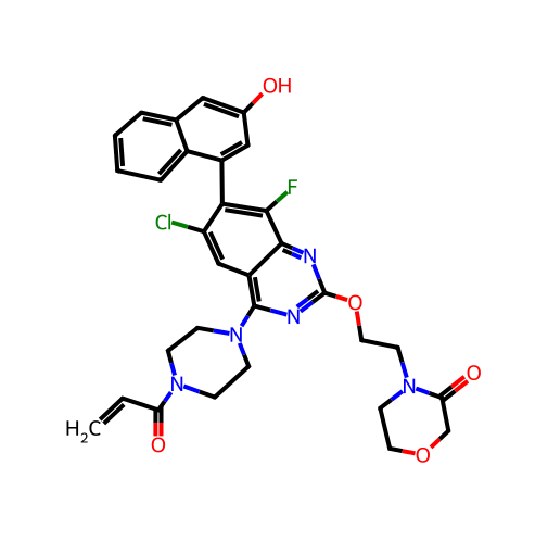 C=CC(=O)N1CCN(c2nc(OCCN3CCOCC3=O)nc3c(F)c(-c4cc(O)cc5ccccc45)c(Cl)cc23)CC1